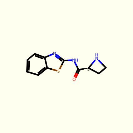 O=C(Nc1nc2ccccc2s1)[C@@H]1CCN1